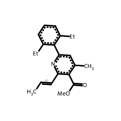 C/C=C/c1nc(-c2c(CC)cccc2CC)cc(C)c1C(=O)OC